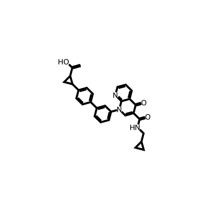 C=C(O)C1CC1c1ccc(-c2cccc(-n3cc(C(=O)NCC4CC4)c(=O)c4cccnc43)c2)cc1